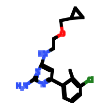 Cc1c(Cl)cccc1-c1cc(NCCOCC2CC2)nc(N)n1